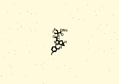 COC(=O)C(CF)(CF)NC(=O)c1nn(-c2ccc(F)cc2F)c2c1C[C@H]1C[C@@H]21